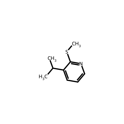 CSc1ncccc1C(C)C